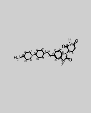 Cn1c(=O)n(C2CCC(=O)NC2=O)c2ccc(CCC3CCC(N4CCC(N)CC4)CC3)cc21